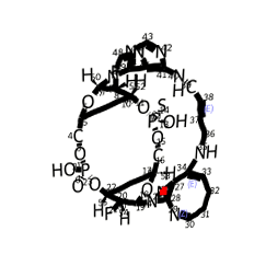 O=P1(O)OCC2O[C@@H]3[C@H](F)[C@@H]2O[P@@](O)(=S)OC[C@H]2OC([C@H](F)[C@@H]2O1)n1cnc2c1/N=C\CC/C=C\2NC/C=C/CNc1ncnc2c1ncn23